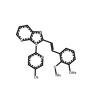 CCCCOc1c(C=Cc2nc3cccnc3n2-c2ccc(C#N)cn2)cccc1OC